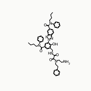 CCCCN(C(=O)c1cc(CNC(=O)C(=O)N(CCN)CCc2ccccc2)c(O)c(-n2nc3ccc(C(=O)N(CCCC)c4ccccc4)cc3n2)c1)c1ccccc1